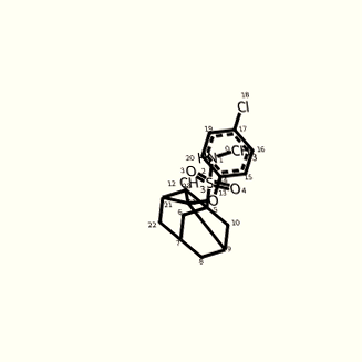 CNS(=O)(=O)C12CC3CC(C1)C(C)(Oc1ccc(Cl)cc1)C(C3)C2